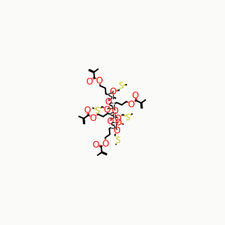 C=C(C)C(=O)OCCC[Si](C)(OCSC)O[Si](CCCOC(=O)C(=C)C)(OCSC)O[Si](CCCOC(=O)C(=C)C)(OCSC)O[Si](CCCOC(=O)C(=C)C)(OC)OCSC